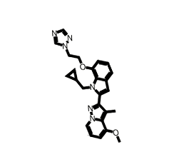 COc1c[c]cn2nc(-c3cc4cccc(OCCn5cncn5)c4n3CC3CC3)c(C)c12